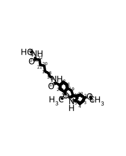 COc1ccc2[nH]cc(Cc3ccc(C(=O)NCCCCCCC(=O)NO)cc3OC)c2c1